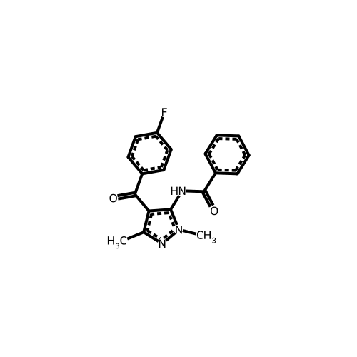 Cc1nn(C)c(NC(=O)c2ccccc2)c1C(=O)c1ccc(F)cc1